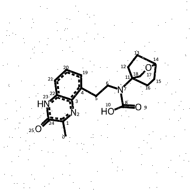 Cc1nc2c(CCN(C(=O)O)C34CCC(CC3)OC4)cccc2[nH]c1=O